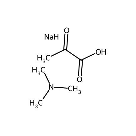 CC(=O)C(=O)O.CN(C)C.[NaH]